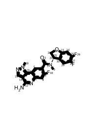 CN(C(=O)c1cc2c(cc1F)nc(N)c1cnn(C)c12)[C@@H]1COc2cc(F)c(F)cc21